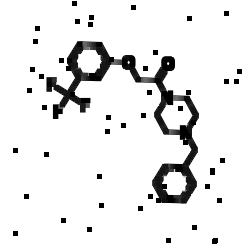 O=C(COc1cccc(C(F)(F)F)c1)N1CCN(Cc2ccccc2)CC1